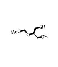 COCO[C@@H](CO)CS